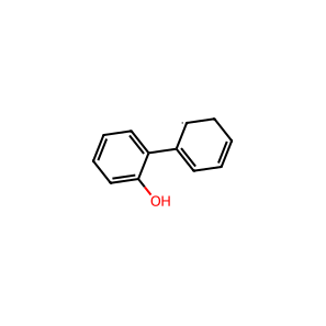 Oc1ccccc1C1=CC=CC[CH]1